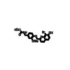 CCCCCCCCC(=O)NCc1ccc(OCc2ccc3ccc(O)c(Br)c3n2)c(OC)c1